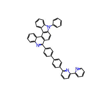 c1ccc(-n2c3ccccc3c3c4c(ccc32)c(-c2ccc(-c3ccc(-c5cccc(-c6ccccn6)n5)cc3)cc2)nc2ccccc24)cc1